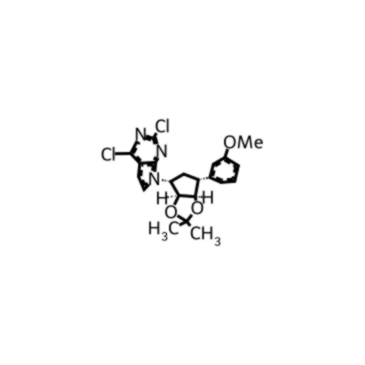 COc1cccc([C@H]2C[C@@H](n3ccc4c(Cl)nc(Cl)nc43)[C@@H]3OC(C)(C)O[C@@H]32)c1